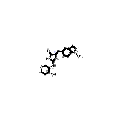 Cn1ncc2cc(/C=C3\N=C(N[C@@H]4COCC[C@H]4O)NC3=O)ccc21